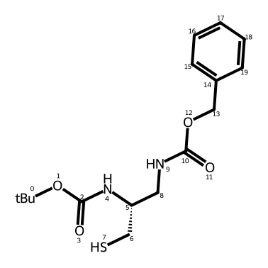 CC(C)(C)OC(=O)N[C@@H](CS)CNC(=O)OCc1ccccc1